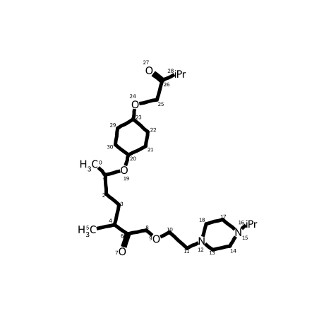 CC(CCC(C)C(=O)COCCN1CCN(C(C)C)CC1)OC1CCC(OCC(=O)C(C)C)CC1